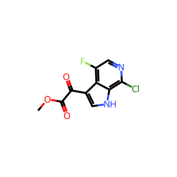 COC(=O)C(=O)c1c[nH]c2c(Cl)ncc(F)c12